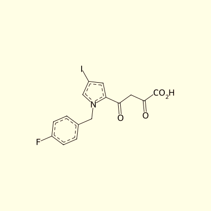 O=C(O)C(=O)CC(=O)c1cc(I)cn1Cc1ccc(F)cc1